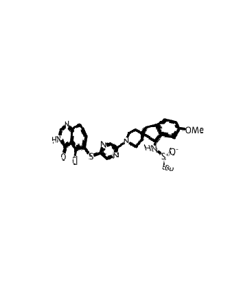 COc1ccc2c(c1)[C@@H](N[S@+]([O-])C(C)(C)C)C1(CCN(c3cnc(Sc4ccc5nc[nH]c(=O)c5c4Cl)cn3)CC1)C2